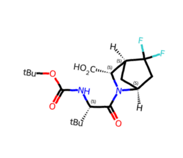 CC(C)(C)OC(=O)N[C@H](C(=O)N1[C@H]2C[C@@H]([C@H]1C(=O)O)C(F)(F)C2)C(C)(C)C